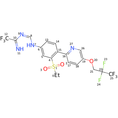 CCS(=O)(=O)c1cc(N/C=N\C(=N)C(F)(F)F)ccc1-c1ccc(OCC(F)(F)C(F)(F)F)cn1